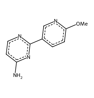 COc1ccc(-c2nccc(N)n2)cn1